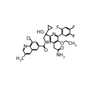 CCOc1c(CC(N)=O)cc([C@@](O)(CNC(=O)c2cc(Cl)c3ncc(C)cc3c2)C2CC2)nc1-c1cc(F)c(F)cc1F